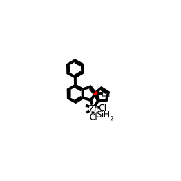 CCC1=Cc2c(-c3ccccc3)cccc2[CH]1[Zr]([CH3])([CH3])(=[SiH2])([Cl])([Cl])[C]1=CC=CC1